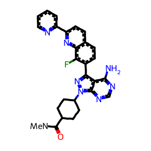 CNC(=O)C1CCC(n2nc(-c3ccc4ccc(-c5ccccn5)nc4c3F)c3c(N)ncnc32)CC1